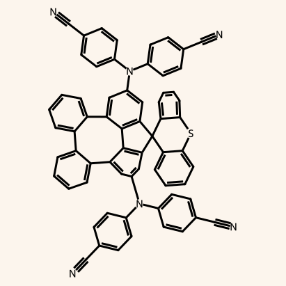 N#Cc1ccc(N(c2ccc(C#N)cc2)c2cc3c4c(c2)C2(c5ccccc5Sc5ccccc52)c2cc(N(c5ccc(C#N)cc5)c5ccc(C#N)cc5)cc(c2-4)-c2ccccc2-c2ccccc2-3)cc1